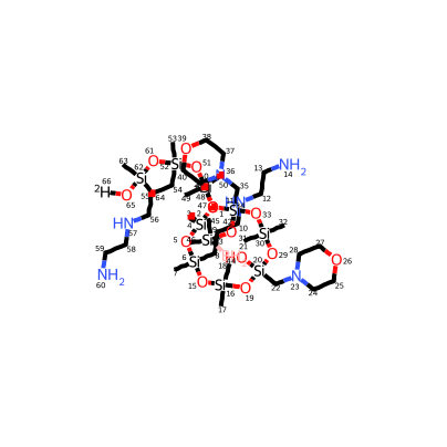 [2H]O[Si](C)(C)O[Si](C)(CCCNCCN)O[Si](C)(C)O[Si](O)(CN1CCOCC1)O[Si](C)(C)O[Si](CN1CCOCC1)(O[Si](B)(C)C)O[Si](C)(C)O[Si](C)(CCCNCCN)O[Si](C)(C)O[2H]